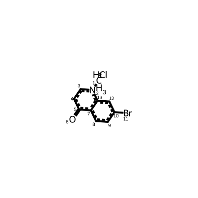 Cl.Cn1ccc(=O)c2ccc(Br)cc21